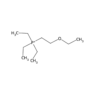 CCOCC[P+](CC)(CC)CC